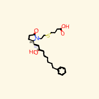 O=C(O)CCCSCCN1C(=O)CC[C@@H]1/C=C/[C@H](O)CCCCCCc1ccccc1